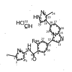 Cc1csc(NC(=O)c2ccc(-c3cnc4ccc(-c5c[nH]nc5C)cn34)cc2F)n1.Cl.Cl